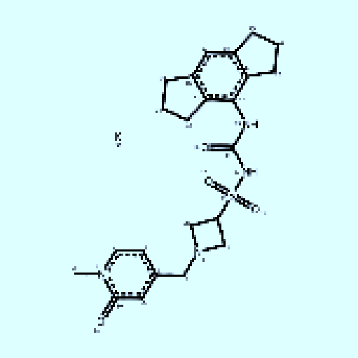 Cn1ccc(CN2CC(S(=O)(=O)NC(=O)Nc3c4c(cc5c3CCC5)CCC4)C2)cc1=O.[K]